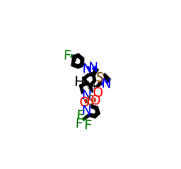 O=C(c1nccs1)[C@]12Cc3cnn(-c4ccc(F)cc4)c3C[C@@H]1CCN(S(=O)(=O)c1cccc(C(F)(F)F)n1)C2